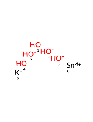 [K+].[OH-].[OH-].[OH-].[OH-].[OH-].[Sn+4]